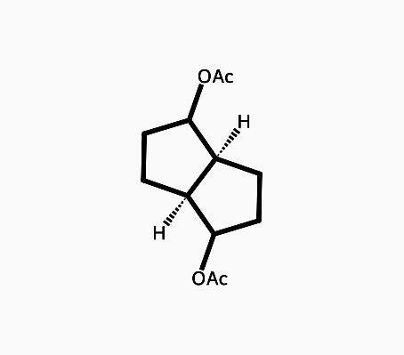 CC(=O)OC1CC[C@@H]2C(OC(C)=O)CC[C@H]12